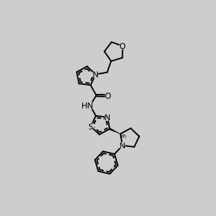 O=C(Nc1nc([C@H]2CCCN2c2ccccc2)cs1)c1cccn1CC1CCOC1